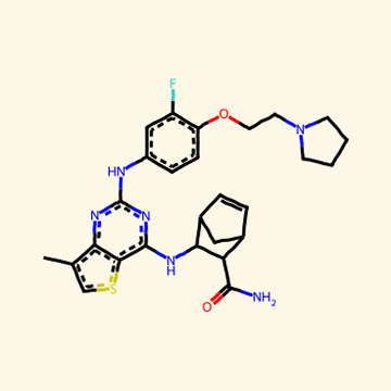 Cc1csc2c(NC3C4C=CC(C4)C3C(N)=O)nc(Nc3ccc(OCCN4CCCC4)c(F)c3)nc12